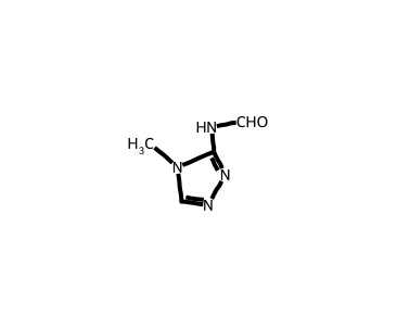 Cn1cnnc1NC=O